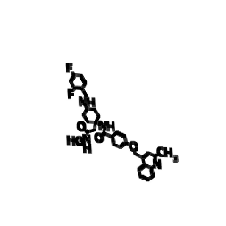 Cc1cc(COc2ccc(C(=O)NC3(CC(=O)NO)CCC(NCc4ccc(F)cc4F)CC3)cc2)c2ccccc2n1